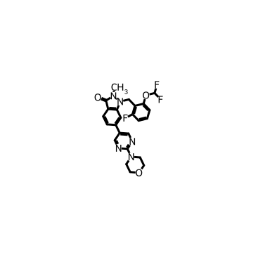 Cn1c(=O)c2ccc(-c3cnc(N4CCOCC4)nc3)cc2n1Cc1c(F)cccc1OC(F)F